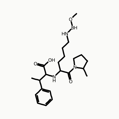 COBNCCCCC(NC(C(=O)O)C(C)c1ccccc1)C(=O)N1CCCC1C